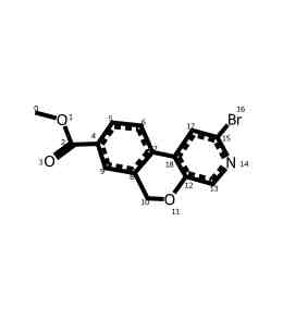 COC(=O)c1ccc2c(c1)COc1cnc(Br)cc1-2